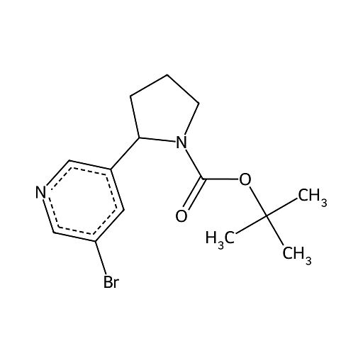 CC(C)(C)OC(=O)N1CCCC1c1cncc(Br)c1